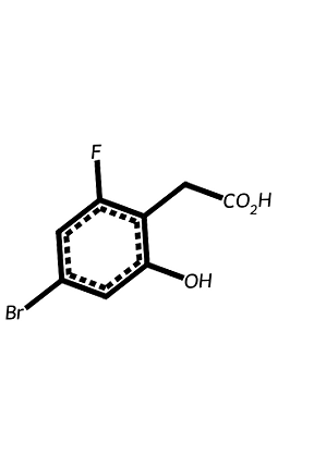 O=C(O)Cc1c(O)cc(Br)cc1F